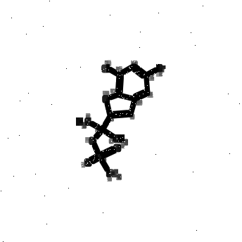 CC(C)(OS(C)(=O)=O)c1cc2cc(Br)cc(Cl)c2o1